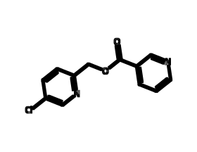 O=C(OCc1ccc(Cl)cn1)c1cccnc1